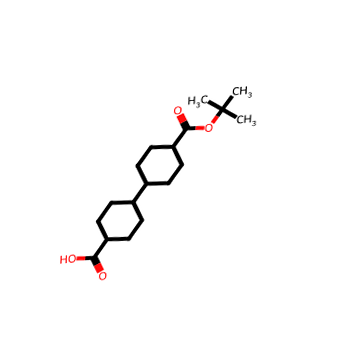 CC(C)(C)OC(=O)C1CCC(C2CCC(C(=O)O)CC2)CC1